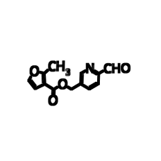 Cc1occc1C(=O)OCc1ccc(C=O)nc1